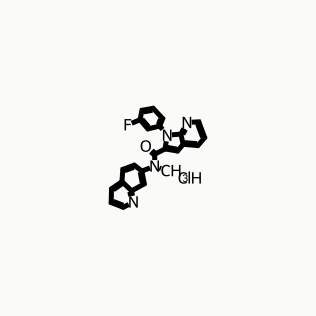 CN(C(=O)c1cc2cccnc2n1-c1cccc(F)c1)c1ccc2cccnc2c1.Cl